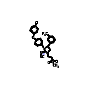 [C-]#[N+]/N=C1\N(CCS(C)(=O)=O)CC(c2cccc(C(F)(F)F)c2)N1c1ccc(Oc2ccc(Cl)cc2)cc1